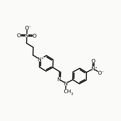 CN(/N=C/c1cc[n+](CCCS(=O)(=O)[O-])cc1)c1ccc([N+](=O)[O-])cc1